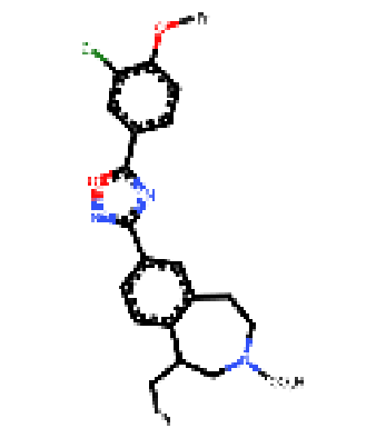 CC(C)CC1CN(C(=O)O)CCc2cc(-c3noc(-c4ccc(OC(C)C)c(Cl)c4)n3)ccc21